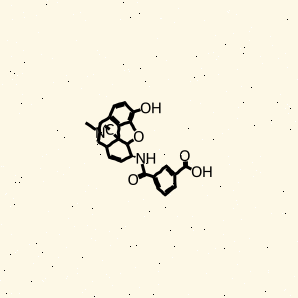 CN1CCC23c4c5ccc(O)c4OC2[C@H](NC(=O)c2cccc(C(=O)O)c2)C=CC3C1C5